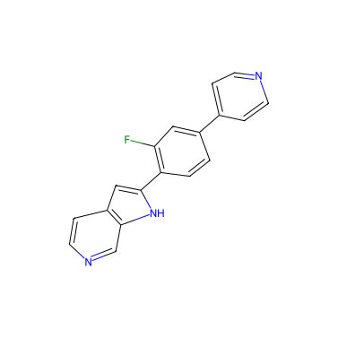 Fc1cc(-c2ccncc2)ccc1-c1cc2ccncc2[nH]1